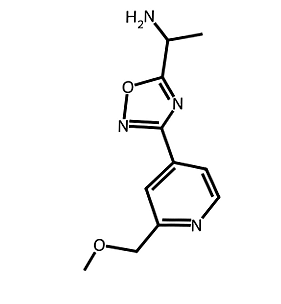 COCc1cc(-c2noc(C(C)N)n2)ccn1